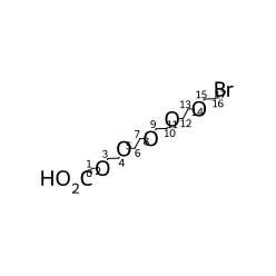 O=C(O)COCCOCCOCCOCCOCCBr